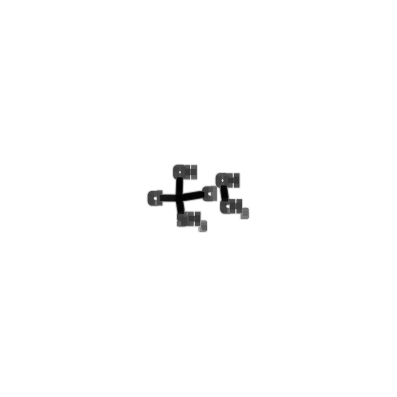 CO.OC([SiH3])(Cl)Cl